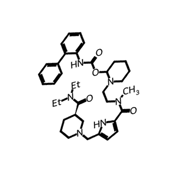 CCN(CC)C(=O)[C@@H]1CCCN(Cc2ccc(C(=O)N(C)CCN3CCCCC3OC(=O)Nc3ccccc3-c3ccccc3)[nH]2)C1